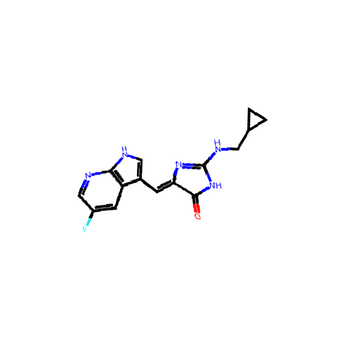 O=C1NC(NCC2CC2)=NC1=Cc1c[nH]c2ncc(F)cc12